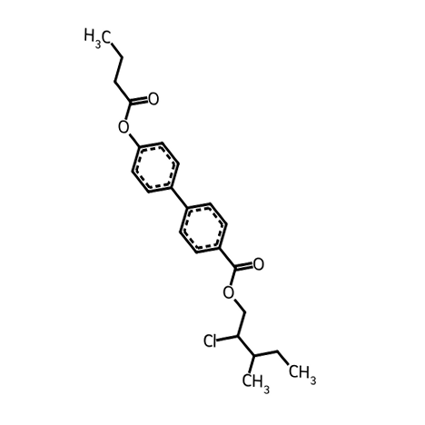 CCCC(=O)Oc1ccc(-c2ccc(C(=O)OCC(Cl)C(C)CC)cc2)cc1